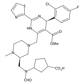 COC(=O)C1=C(CN2CCN(C)[C@H](CN(C=O)C3CCC(C(=O)O)C3)C2)NC(c2nccs2)=N[C@H]1c1ccc(F)cc1Cl